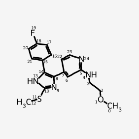 COCCNc1cc(-c2nc(SC)[nH]c2-c2ccc(F)cc2)ccn1